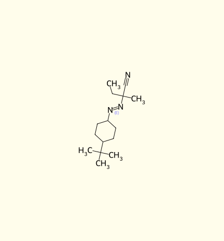 CCC(C)(C#N)/N=N/C1CCC(C(C)(C)C)CC1